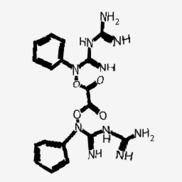 N=C(N)NC(=N)N(OC(=O)C(=O)ON(C(=N)NC(=N)N)c1ccccc1)c1ccccc1